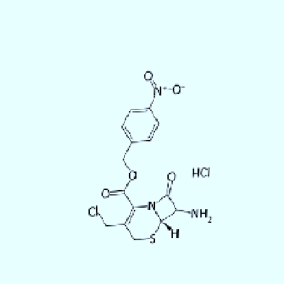 Cl.NC1C(=O)N2C(C(=O)OCc3ccc([N+](=O)[O-])cc3)=C(CCl)CS[C@@H]12